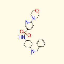 CN(Cc1ccccc1)[C@H]1CC[C@@H](NS(=O)(=O)c2ccc(N3CCOCC3)nc2)CC1